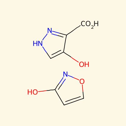 O=C(O)c1n[nH]cc1O.Oc1ccon1